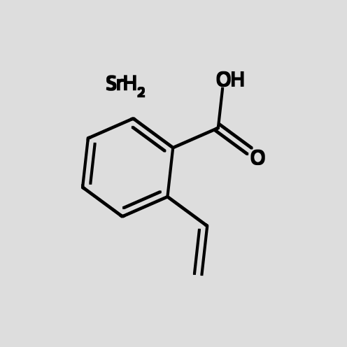 C=Cc1ccccc1C(=O)O.[SrH2]